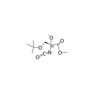 COC(=O)[C@](COC(C)(C)C)(N=C=O)OC